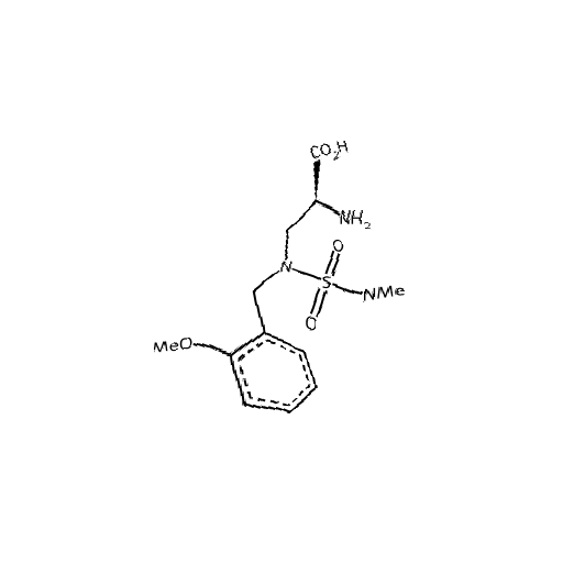 CNS(=O)(=O)N(Cc1ccccc1OC)C[C@H](N)C(=O)O